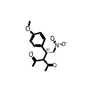 COc1ccc([C@H](C[N+](=O)[O-])C(C(C)=O)C(C)=O)cc1